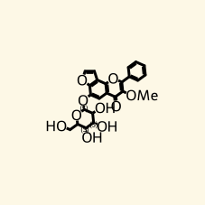 COc1c(-c2ccccc2)oc2c(cc(O[C@@H]3OC(CO)[C@@H](O)[C@H](O)C3O)c3occc32)c1=O